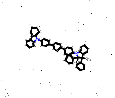 CC1(c2ccccc2)c2ccccc2N(c2ccc(-c3ccc(-c4ccc(-n5c6ccccc6c6ccccc65)cc4)cc3)cc2)C1(C)c1ccccc1